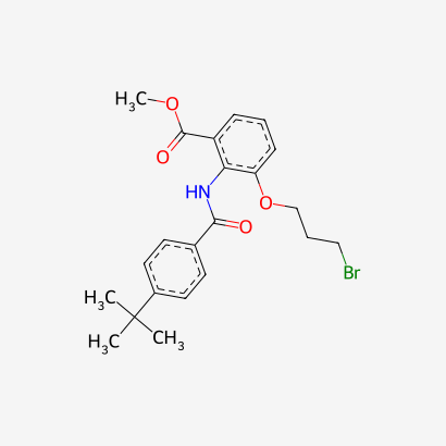 COC(=O)c1cccc(OCCCBr)c1NC(=O)c1ccc(C(C)(C)C)cc1